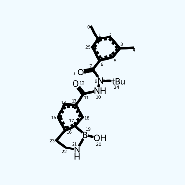 Cc1cc(C)cc(C(=O)N(NC(=O)c2ccc3c(c2)B(O)NCC3)C(C)(C)C)c1